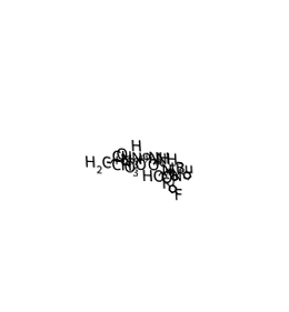 C=CCC(C)(C)C1CC(=O)N(CCNC(=O)[C@@H]2CC[C@H](NC(=O)[C@@H](N)CCN(C(=O)CO)[C@@H](c3cc(-c4cc(F)ccc4F)cn3Cc3ccccc3)C(C)(C)C)C2)C1=O